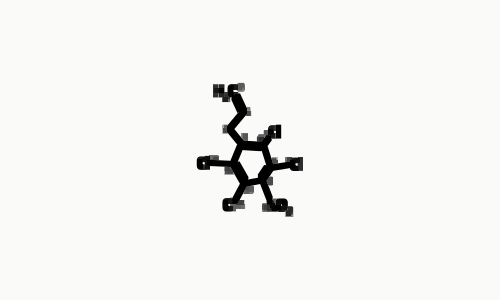 C=CCc1c(Cl)c(Cl)c([N+](=O)[O-])c(Cl)c1Cl